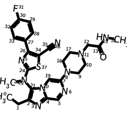 CCc1nc2cnc(N3CCN(CC(=O)NC)CC3)cn2c1N(C)c1nc(-c2ccc(F)cc2)c(C#N)s1